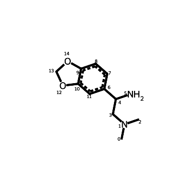 CN(C)CC(N)c1ccc2c(c1)OCO2